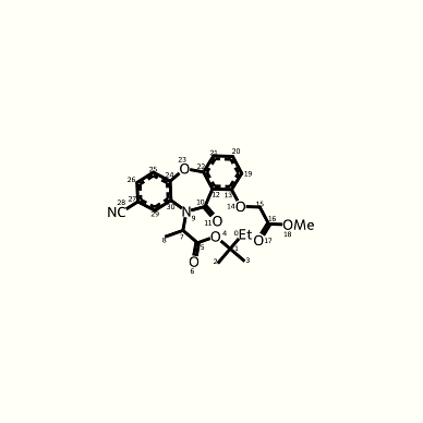 CCC(C)(C)OC(=O)C(C)N1C(=O)c2c(OCC(=O)OC)cccc2Oc2ccc(C#N)cc21